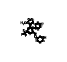 Cl.Cn1nncc1-c1cc(C(F)(F)F)cc(COC2CCCNC2)c1-c1ccccc1